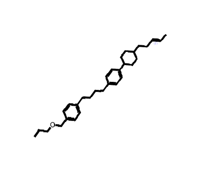 C/C=C/CCC1CCC(c2ccc(CCCCc3ccc(COCCC)cc3)cc2)CC1